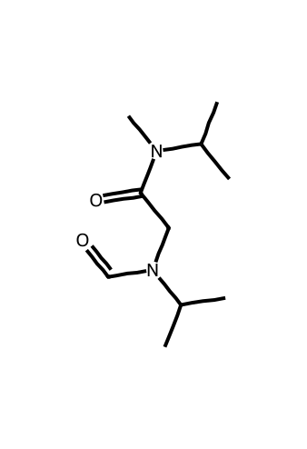 CC(C)N(C=O)CC(=O)N(C)C(C)C